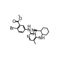 COC(=O)c1cc(Nc2ncc(C)c(NC3CCCCC3C#N)n2)ccc1Br